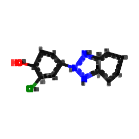 Oc1ccc(-n2nc3ccccc3n2)cc1Cl